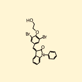 O=C1C(=Cc2cc(Br)c(OCCO)c(Br)c2)c2ccccc2N1c1ccccc1